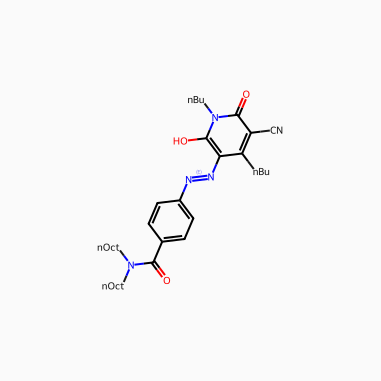 CCCCCCCCN(CCCCCCCC)C(=O)c1ccc(/N=N/c2c(CCCC)c(C#N)c(=O)n(CCCC)c2O)cc1